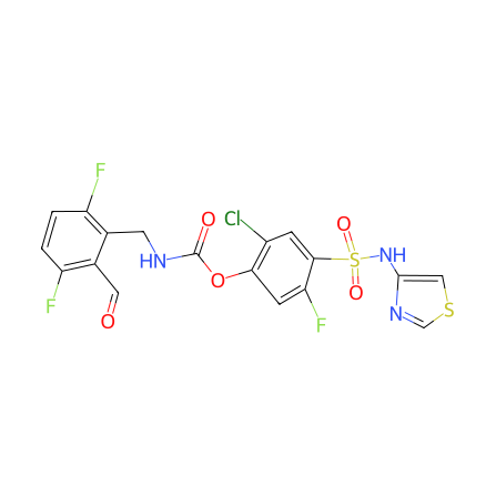 O=Cc1c(F)ccc(F)c1CNC(=O)Oc1cc(F)c(S(=O)(=O)Nc2cscn2)cc1Cl